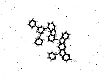 CCCCc1ccc2c(c1)c1cc3c4ccccc4n(-c4cccc5c4oc4cccc(-c6nc(-c7ccccc7)nc(-c7ccccc7)n6)c45)c3cc1n2-c1ccccc1